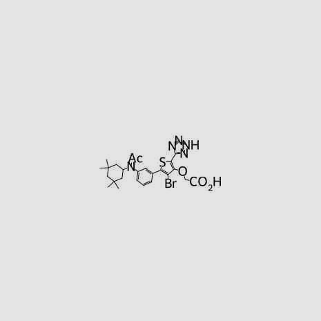 CC(=O)N(c1cccc(-c2sc(-c3nn[nH]n3)c(OCC(=O)O)c2Br)c1)C1CC(C)(C)CC(C)(C)C1